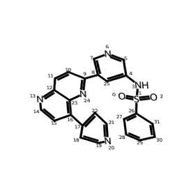 O=S(=O)(Nc1cncc(-c2ccc3nccc(-c4ccncc4)c3n2)c1)c1ccccc1